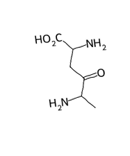 CC(N)C(=O)CC(N)C(=O)O